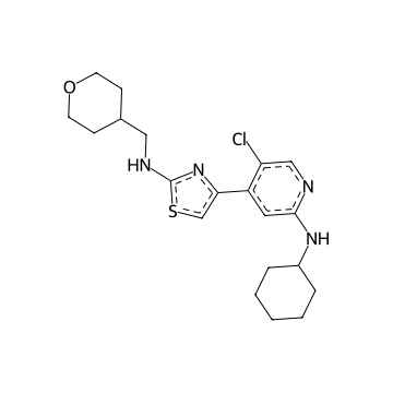 Clc1cnc(NC2CCCCC2)cc1-c1csc(NCC2CCOCC2)n1